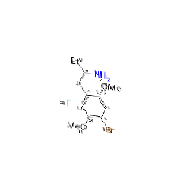 CCC(N)Cc1c(OC)cc(Br)c(OC)c1F